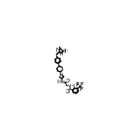 O=C(CNC(=O)c1cccc(C(F)(F)F)c1)NC1CN(C2CCC(c3ccc(Cc4nn[nH]n4)cc3)CC2)C1